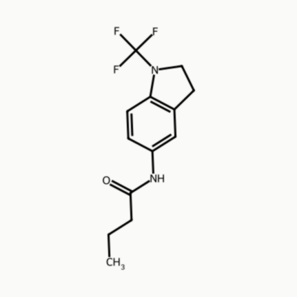 CCCC(=O)Nc1ccc2c(c1)CCN2C(F)(F)F